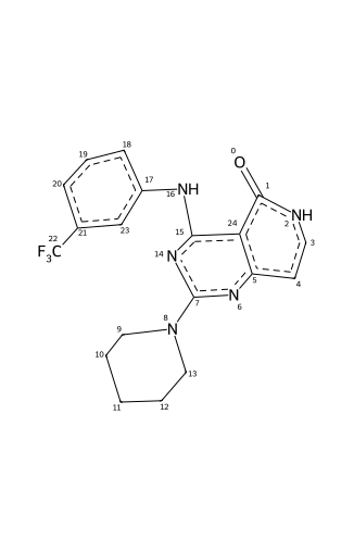 O=c1[nH]ccc2nc(N3CCCCC3)nc(Nc3cccc(C(F)(F)F)c3)c12